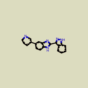 c1cncc(-c2ccc3[nH]c(-c4n[nH]c5ccccc45)nc3c2)c1